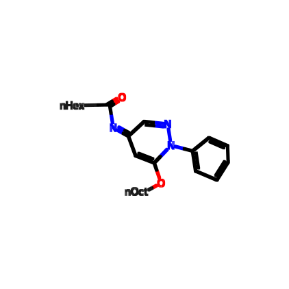 CCCCCCCCOc1cc(=NC(=O)CCCCCC)cnn1-c1ccccc1